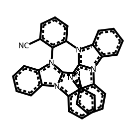 N#Cc1cccc(-n2c3ccccc3n3c4ccccc4nc23)c1-n1c2ccccc2n2c3ccccc3nc12